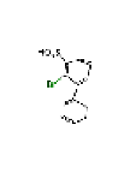 O=S(=O)(O)c1cccc(-c2ccccc2)c1Br